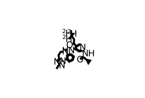 [2H]C([2H])([2H])CC(=O)c1cnc(NC(=O)C2CC2)cc1Nc1cccc2c1N(C)CCc1nc(C)nn1-2